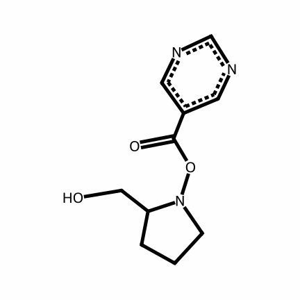 O=C(ON1CCCC1CO)c1cncnc1